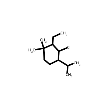 CCC1C(Cl)C(C(C)C)CCC1(C)C